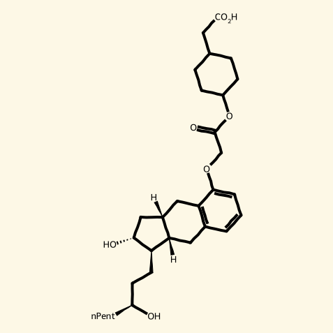 CCCCC[C@H](O)CC[C@@H]1[C@H]2Cc3cccc(OCC(=O)OC4CCC(CC(=O)O)CC4)c3C[C@H]2C[C@H]1O